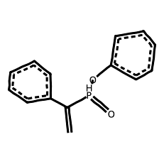 C=C(c1ccccc1)[PH](=O)Oc1ccccc1